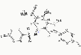 CC[C@H]1CN(/C(=N/S(=O)(=O)c2ccc(Cl)cc2)N[C@@H](C(N)=O)[C@@H](C)O)N=C1c1ccc(Cl)cc1